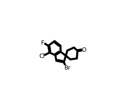 O=C1CCC2(CC1)C(Br)=Cc1c2ccc(F)c1Cl